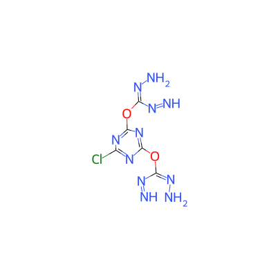 N=NC(=NN)Oc1nc(Cl)nc(OC(N=N)=NN)n1